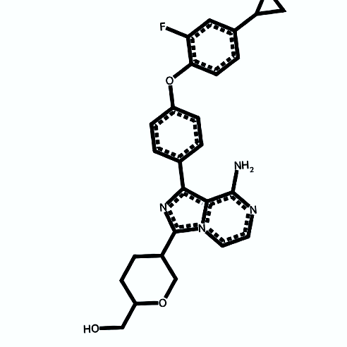 Nc1nccn2c(C3CCC(CO)OC3)nc(-c3ccc(Oc4ccc(C5CC5)cc4F)cc3)c12